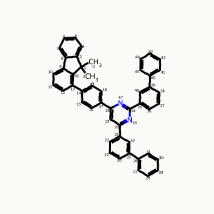 CC1(C)c2ccccc2-c2cccc(-c3ccc(-c4cc(-c5cccc(-c6ccccc6)c5)nc(-c5cccc(-c6ccccc6)c5)n4)cc3)c21